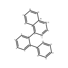 [c]1nc(-c2ccccc2-c2ccccc2)c2ccccc2n1